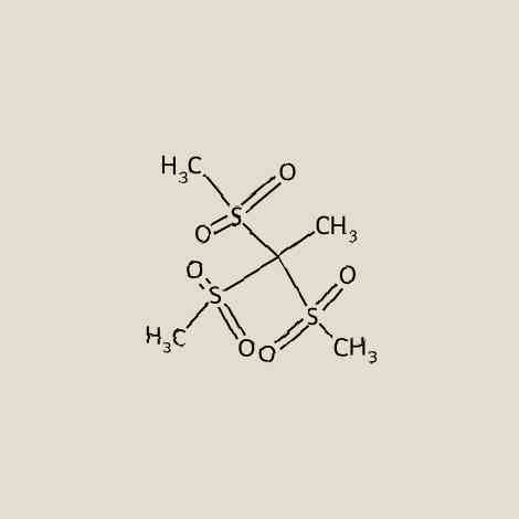 CC(S(C)(=O)=O)(S(C)(=O)=O)S(C)(=O)=O